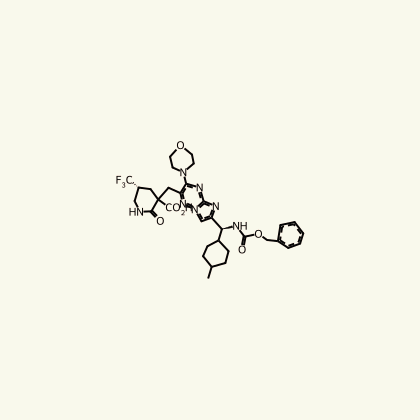 CC1CCC([C@H](NC(=O)OCc2ccccc2)c2cn3nc(CC4(C(=O)O)C[C@@H](C(F)(F)F)CNC4=O)c(N4CCOCC4)nc3n2)CC1